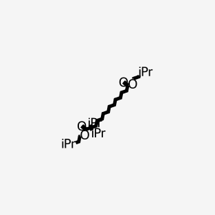 CC(C)CCOC(=O)CCCCCCCCCCCC(C(=O)OCCC(C)C)(C(C)C)C(C)C